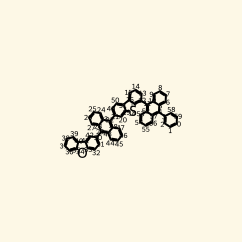 c1ccc(-c2c3ccccc3c(-c3cccc4c3sc3cc(-c5c6ccccc6c(-c6ccc7oc8ccccc8c7c6)c6ccccc56)ccc34)c3ccccc23)cc1